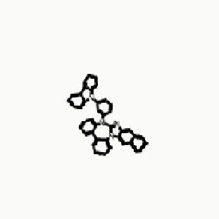 c1cc(N2c3ccccc3-c3ccccc3-n3c2nc2cc4ccccc4cc23)cc(-n2c3ccccc3c3ccccc32)c1